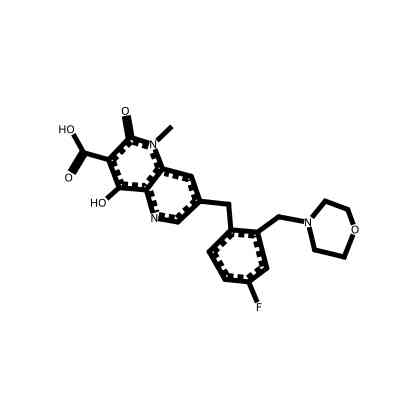 Cn1c(=O)c(C(=O)O)c(O)c2ncc(Cc3ccc(F)cc3CN3CCOCC3)cc21